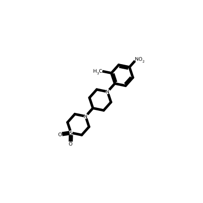 Cc1cc([N+](=O)[O-])ccc1N1CCC(N2CCS(=O)(=O)CC2)CC1